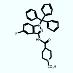 O=C(Nc1nn(C(c2ccccc2)(c2ccccc2)c2ccccc2)c2ccc(Br)cc12)C1CCN(C(=O)O)CC1